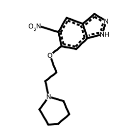 O=[N+]([O-])c1cc2cn[nH]c2cc1OCCN1CCCCC1